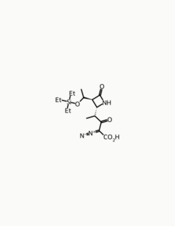 CC[Si](CC)(CC)OC(C)[C@H]1C(=O)N[C@@H]1C(C)C(=O)C(=[N+]=[N-])C(=O)O